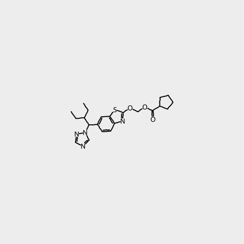 CCC(CC)C(c1ccc2nc(OCOC(=O)C3CCCC3)sc2c1)n1cncn1